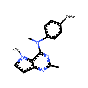 CCCn1ccc2nc(C)nc(N(C)c3ccc(OC)cc3)c21